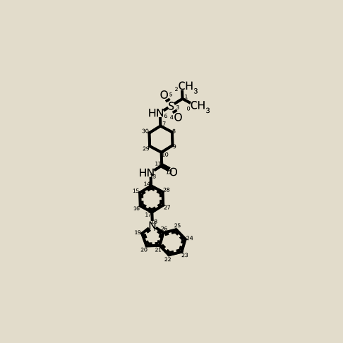 CC(C)S(=O)(=O)NC1CCC(C(=O)Nc2ccc(-n3ccc4ccccc43)cc2)CC1